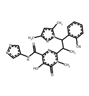 Cc1cc(C)n(C(c2ccccc2C#N)C(C)c2nc(C(=O)Nc3cnoc3)c(O)c(=O)n2C)n1